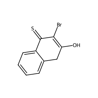 OC1=C(Br)C(=S)c2ccccc2C1